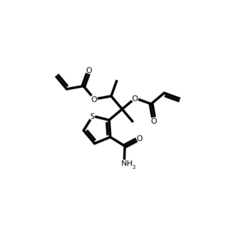 C=CC(=O)OC(C)C(C)(OC(=O)C=C)c1sccc1C(N)=O